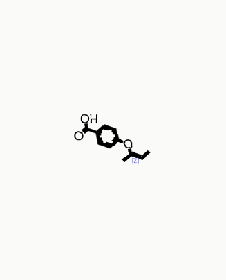 C/C=C(/C)Oc1ccc(C(=O)O)cc1